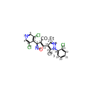 CCOC(=O)c1c(-c2c(Cl)cncc2Cl)noc1-c1cnn(-c2ccccc2Cl)c1C(F)(F)F